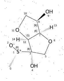 C[S@+]([O-])[C@]1(O)CO[C@@H]2[C@H](O)CO[C@@H]21